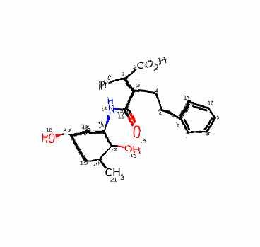 CC(C)C(C(=O)O)C(CCc1ccccc1)C(=O)N[C@@H]1C[C@H](O)CC(C)C1O